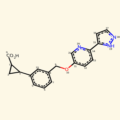 O=C(O)C1CC1c1cccc(COc2ccc(-c3ccn[nH]3)nc2)c1